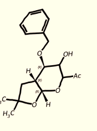 CC(=O)C1O[C@@H]2OC(C)(C)C[C@@H]2[C@@H](OCc2ccccc2)C1O